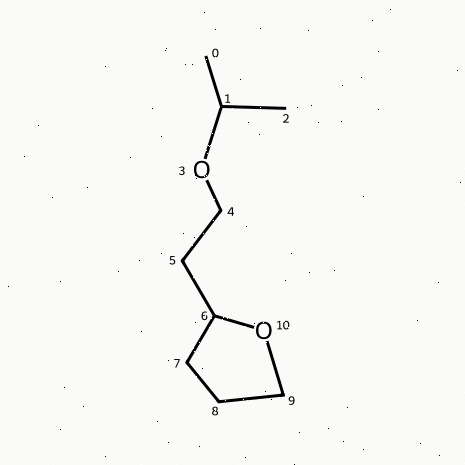 CC(C)OCCC1CCCO1